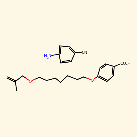 C=C(C)COCCCCCCCOc1ccc(C(=O)O)cc1.N#Cc1ccc(N)cc1